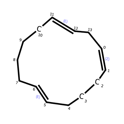 C1=C\CCC/C=C/CCCC/C=C/C/1